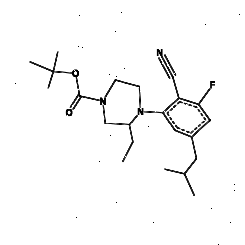 CCC1CN(C(=O)OC(C)(C)C)CCN1c1cc(CC(C)C)cc(F)c1C#N